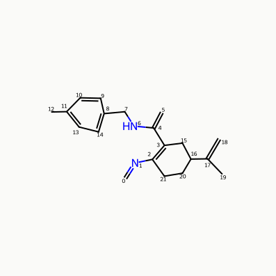 C=NC1=C(C(=C)NCc2ccc(C)cc2)CC(C(=C)C)CC1